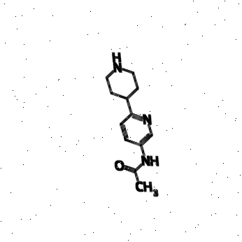 CC(=O)Nc1ccc(C2CCNCC2)nc1